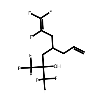 C=CCC(CC(F)=C(F)F)CC(O)(C(F)(F)F)C(F)(F)F